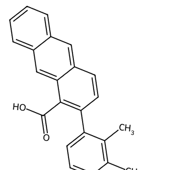 Cc1cccc(-c2ccc3cc4ccccc4cc3c2C(=O)O)c1C